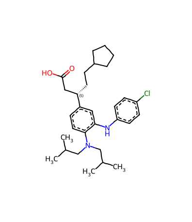 CC(C)CN(CC(C)C)c1ccc([C@@H](CCC2CCCC2)CC(=O)O)cc1Nc1ccc(Cl)cc1